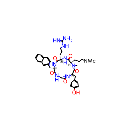 CNCCC[C@@H]1C(=O)N[C@@H](CCCNC(=N)N)C(=O)N[C@@H](Cc2ccc3ccccc3c2)C(=O)NCC(=O)N[C@H](Cc2ccc(O)cc2)C(=O)N1C